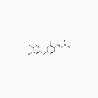 CCN(C=Nc1cc(C)c(Oc2ccc(F)c(Br)c2)cc1C)CC